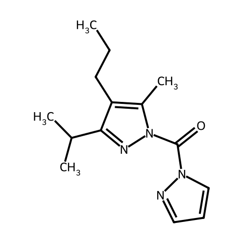 CCCc1c(C(C)C)nn(C(=O)n2cccn2)c1C